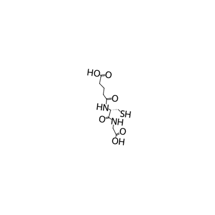 O=C(O)CCCC(=O)N[C@H](CS)C(=O)NCC(=O)O